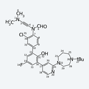 CN(C)C#CN(C=O)c1ccc(-c2cc(F)cc(-c3ccnc(N4CCCN(C(C)(C)C)CC4)c3)c2O)cc1Cl